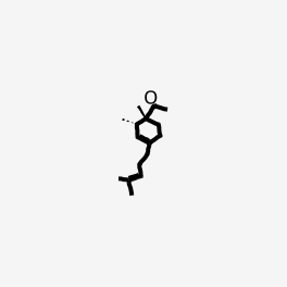 CC(=O)[C@]1(C)CCC(CCC=C(C)C)=C[C@@H]1C